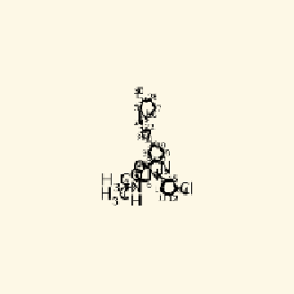 CC(C)NC(=O)Cn1c(-c2cccc(Cl)c2)nc2ccc([C@H]3C[C@H](CN4CCCC(F)C4)C3)cc2c1=O